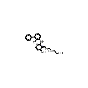 N=C1C=CN=C(Nc2cccc(-c3ccccc3)c2Cl)/C1=C/NCNCCO